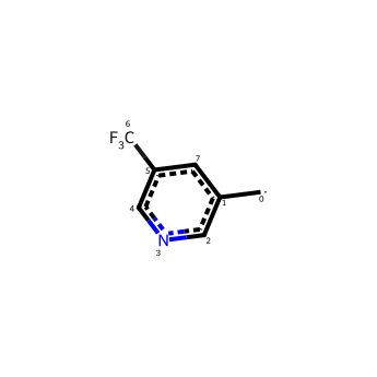 [CH2]c1cncc(C(F)(F)F)c1